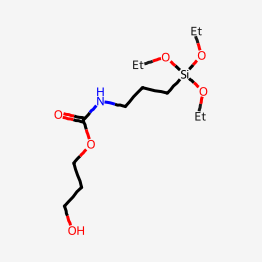 CCO[Si](CCCNC(=O)OCCCO)(OCC)OCC